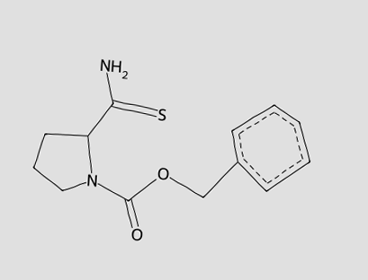 NC(=S)C1CCCN1C(=O)OCc1ccccc1